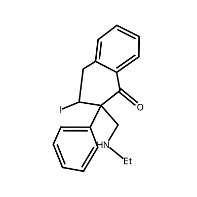 CCNCC1(c2ccccc2)C(=O)c2ccccc2CC1I